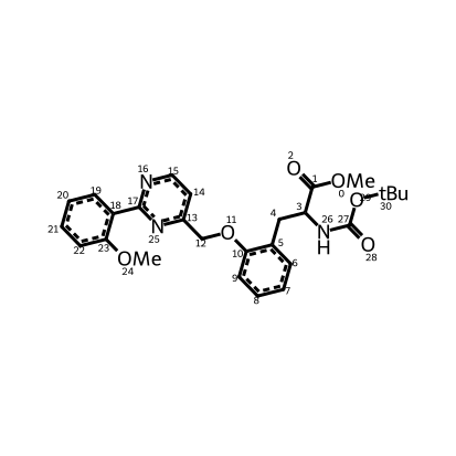 COC(=O)C(Cc1ccccc1OCc1ccnc(-c2ccccc2OC)n1)NC(=O)OC(C)(C)C